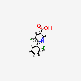 O=C(O)c1cnc(-c2ccccc2F)c(F)c1